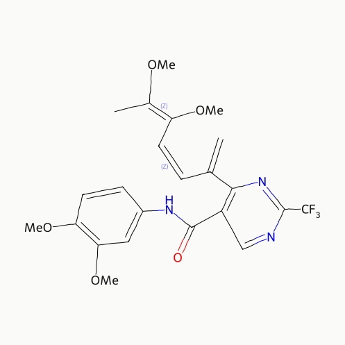 C=C(/C=C\C(OC)=C(/C)OC)c1nc(C(F)(F)F)ncc1C(=O)Nc1ccc(OC)c(OC)c1